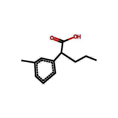 CCCC(C(=O)O)c1cccc(C)c1